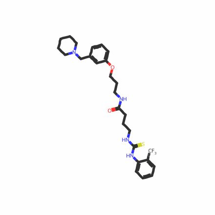 O=C(CCCNC(=S)Nc1ccccc1C(F)(F)F)NCCCOc1cccc(CN2CCCCC2)c1